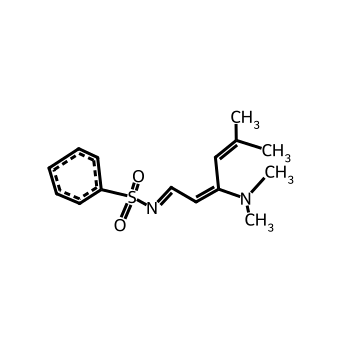 CC(C)=C/C(=C\C=N\S(=O)(=O)c1ccccc1)N(C)C